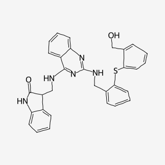 O=C1Nc2ccccc2C1CNc1nc(NCc2ccccc2Sc2ccccc2CO)nc2ccccc12